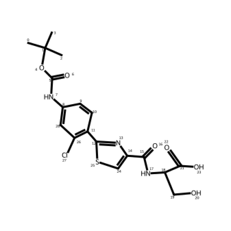 CC(C)(C)OC(=O)Nc1ccc(-c2nc(C(=O)NC(CO)C(=O)O)cs2)c(Cl)c1